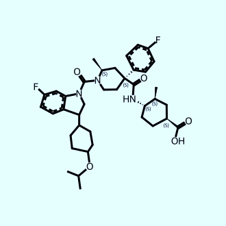 CC(C)OC1CCC(C2CN(C(=O)N3CC[C@@](C(=O)N[C@H]4CC[C@H](C(=O)O)C[C@@H]4C)(c4ccc(F)cc4)C[C@@H]3C)c3cc(F)ccc32)CC1